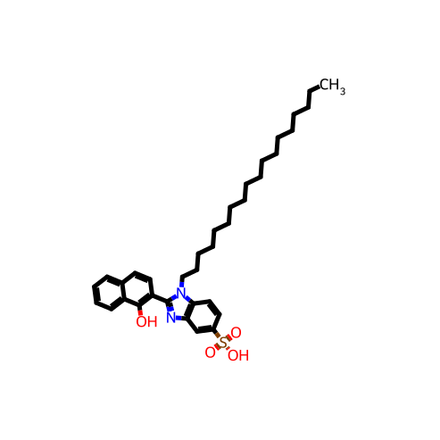 CCCCCCCCCCCCCCCCCCn1c(-c2ccc3ccccc3c2O)nc2cc(S(=O)(=O)O)ccc21